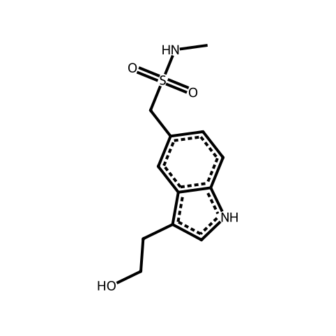 CNS(=O)(=O)Cc1ccc2[nH]cc(CCO)c2c1